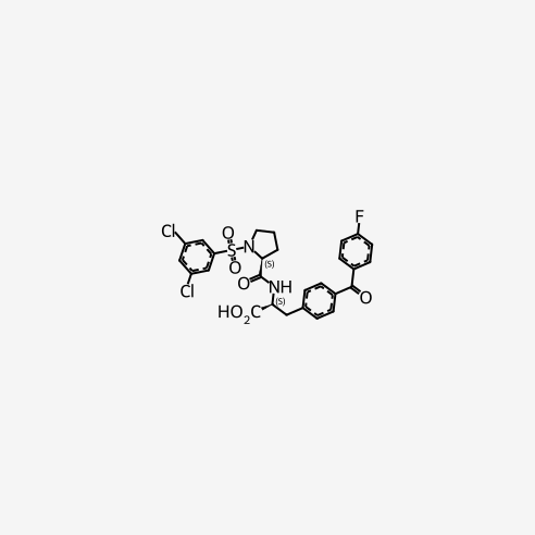 O=C(c1ccc(F)cc1)c1ccc(C[C@H](NC(=O)[C@@H]2CCCN2S(=O)(=O)c2cc(Cl)cc(Cl)c2)C(=O)O)cc1